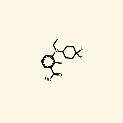 CCN(c1cccc(C(=O)O)c1C)C1CCC(F)(F)CC1